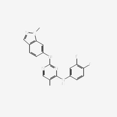 Cn1ncc2ccc(Nc3ncc(F)c(Nc4ccc(F)c(F)c4)n3)cc21